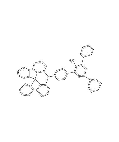 Cc1c(-c2ccccc2)nc(-c2ccccc2)nc1-c1ccc(N2c3ccccc3C(c3ccccc3)(c3ccccc3)c3ccccc32)cc1